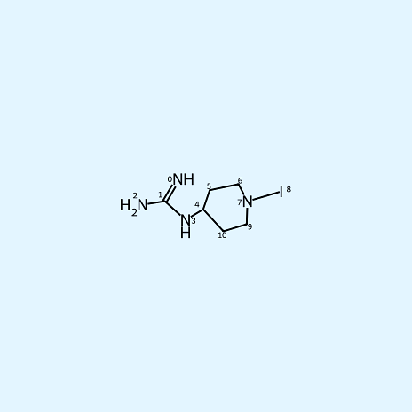 N=C(N)NC1CCN(I)CC1